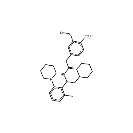 CCOc1cc(CC(=O)NC(CC2CCCCC2)c2c(C)cccc2N2CCCCC2)ccc1C(=O)O